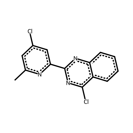 Cc1cc(Cl)cc(-c2nc(Cl)c3ccccc3n2)n1